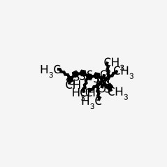 CCCCCCc1cc(C)sc1-c1ccc(-c2ccc(-c3sc(-c4ccc(C5=C6C(=C(c7ccc(C)s7)C(=O)N6CC(CCCC)CCCCCC)N(CC(CCCC)CCCCCC)C5=O)s4)cc3CCCCCC)s2)s1